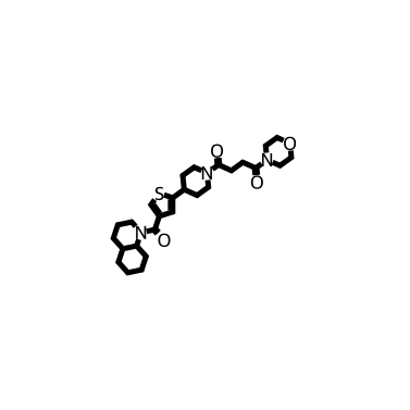 O=C(CCC(=O)N1CCC(c2cc(C(=O)N3CCCC4CCCCC43)cs2)CC1)N1CCOCC1